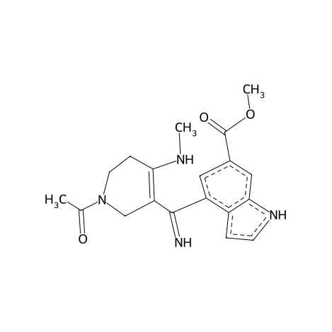 CNC1=C(C(=N)c2cc(C(=O)OC)cc3[nH]ccc23)CN(C(C)=O)CC1